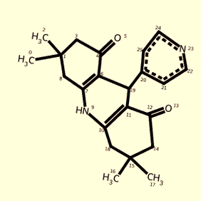 CC1(C)CC(=O)C2=C(C1)NC1=C(C(=O)CC(C)(C)C1)C2c1ccncc1